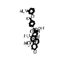 C[C@]12C=CC(=O)C=C1CC[C@H]1[C@@H]3C[C@H]4O[C@@H](c5ccc(C(=O)Oc6cccc(N)c6)cc5)O[C@@]4(C(=O)CO)[C@@]3(C)C[C@H](O)[C@@]12F